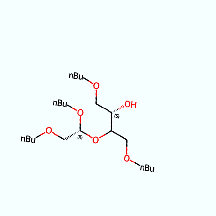 CCCCOCC(O[C@H](COCCCC)OCCCC)[C@@H](O)COCCCC